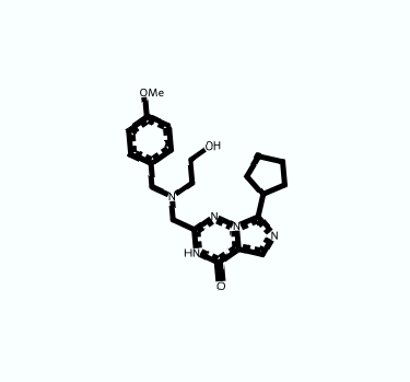 COc1ccc(CN(CCO)Cc2nn3c(C4CCCC4)ncc3c(=O)[nH]2)cc1